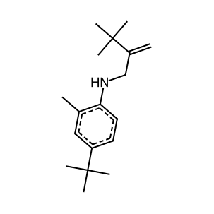 C=C(CNc1ccc(C(C)(C)C)cc1C)C(C)(C)C